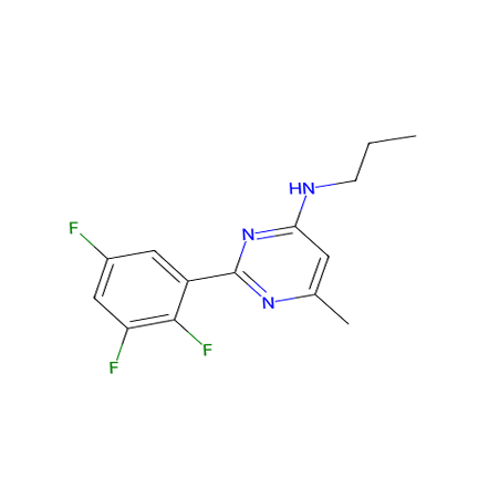 CCCNc1cc(C)nc(-c2cc(F)cc(F)c2F)n1